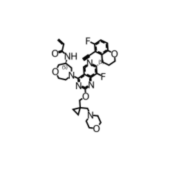 C#Cc1c(F)ccc2c1[C@@H](c1ncc3c(N4CCOC[C@@H](NC(=O)C=C)C4)nc(OCC4(CN5CCOCC5)CC4)nc3c1F)CCO2